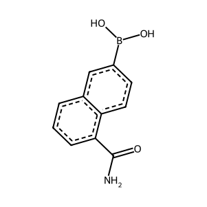 NC(=O)c1cccc2cc(B(O)O)ccc12